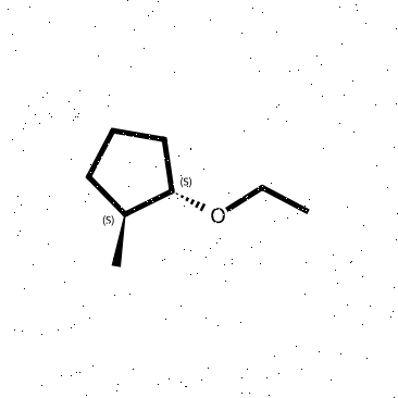 CCO[C@H]1CCC[C@@H]1C